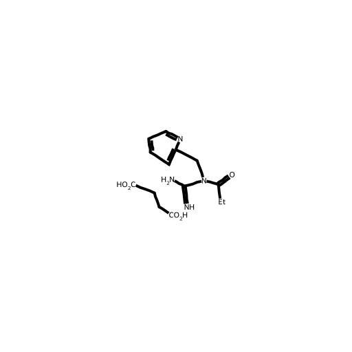 CCC(=O)N(Cc1ccccn1)C(=N)N.O=C(O)CCC(=O)O